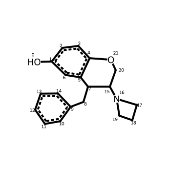 Oc1ccc2c(c1)C(Cc1ccccc1)C(N1CCC1)CO2